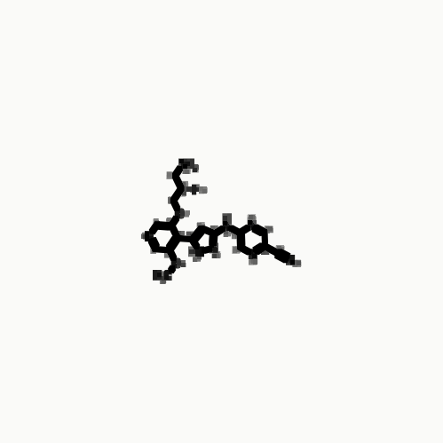 COc1cncc(OC[C@@H](F)CN)c1-c1cc(Nc2cnc(C#N)cn2)n[nH]1